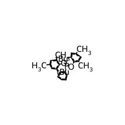 Cc1cc(C)c(OP(Oc2c(C)cc(C)cc2C(C)(C)C)c2ccccc2)c(C(C)(C)C)c1